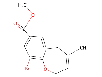 COC(=O)c1cc(Br)c2c(c1)CC(C)=CCO2